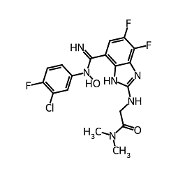 CN(C)C(=O)CNc1nc2c(F)c(F)cc(C(=N)N(O)c3ccc(F)c(Cl)c3)c2[nH]1